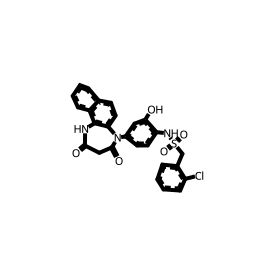 O=C1CC(=O)N(c2ccc(NS(=O)(=O)Cc3ccccc3Cl)c(O)c2)c2ccc3ccccc3c2N1